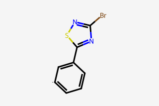 Brc1nsc(-c2c[c]ccc2)n1